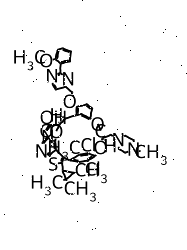 COc1ccccc1-c1nccc(COc2ccc3cc2C[C@H](C(=O)O)Oc2ncnc4sc(C5CC5(C)C)c(c24)-c2c(C)c(Cl)c(c(Cl)c2C)O[C@H](CN2CCN(C)CC2)CO3)n1